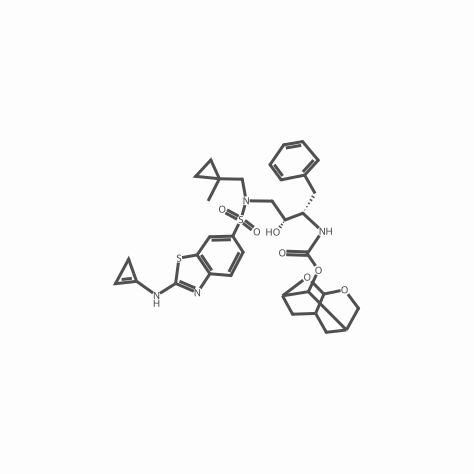 CC1(CN(C[C@@H](O)[C@H](Cc2ccccc2)NC(=O)OC2C3COC4OC2CC4C3)S(=O)(=O)c2ccc3nc(NC4=CC4)sc3c2)CC1